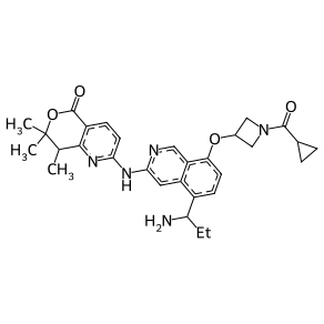 CCC(N)c1ccc(OC2CN(C(=O)C3CC3)C2)c2cnc(Nc3ccc4c(n3)C(C)C(C)(C)OC4=O)cc12